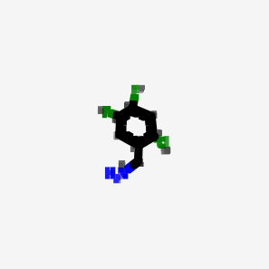 NCc1cc(F)c(F)cc1Cl